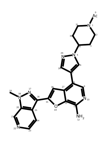 CC(=O)N1CCC(n2cc(-c3cnc(N)c4oc(-c5nn(C)c6cnccc56)cc34)cn2)CC1